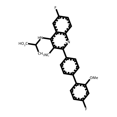 COc1cc(F)ccc1-c1ccc(-c2nc3ccc(F)cc3c(NC(C)C(=O)O)c2C#N)cc1